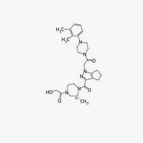 Cc1cccc(N2CCN(C(=O)Cn3nc(C(=O)N4CCN(C(=O)CO)C[C@H]4C)c4c3CCC4)CC2)c1C